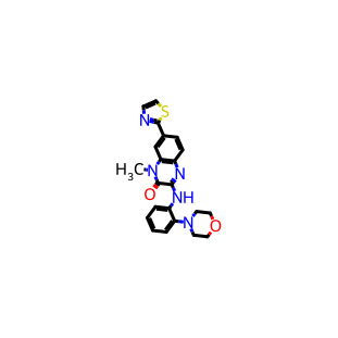 Cn1c(=O)c(Nc2ccccc2N2CCOCC2)nc2ccc(-c3nccs3)cc21